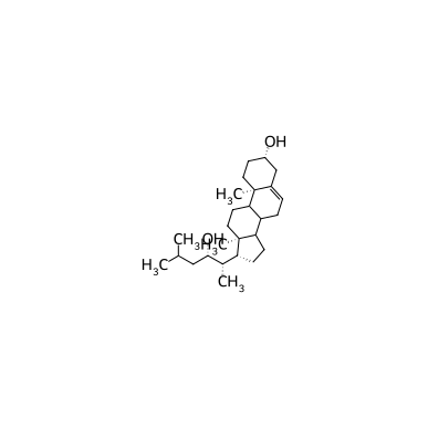 CC(C)C[C@H](O)[C@@H](C)[C@H]1CCC2C3CC=C4C[C@@H](O)CC[C@]4(C)C3CC[C@@]21C